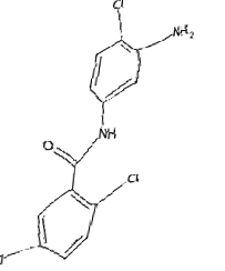 Nc1cc(NC(=O)c2cc(Cl)ccc2Cl)ccc1Cl